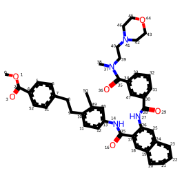 COC(=O)c1ccc(CCc2ccc(NC(=O)c3cc4ccccc4cc3NC(=O)c3cccc(C(=O)N(C)CCN4CCOCC4)c3)cc2C)cc1